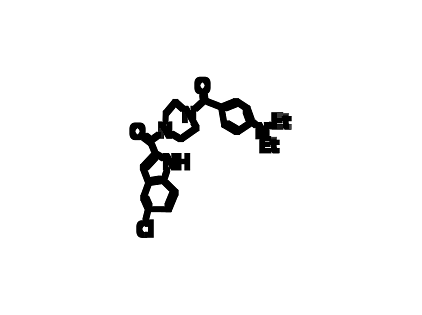 CCN(CC)c1ccc(C(=O)N2CCN(C(=O)c3cc4cc(Cl)ccc4[nH]3)CC2)cc1